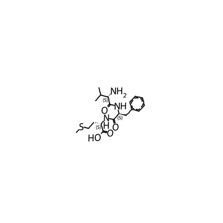 CSCC[C@H](NC(=O)[C@H](Cc1ccccc1)NC(=O)[C@@H](N)C(C)C)C(=O)O